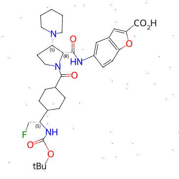 CC(C)(C)OC(=O)N[C@H](CF)C1CCC(C(=O)N2CC[C@H](N3CCCCC3)[C@@H]2C(=O)Nc2ccc3oc(C(=O)O)cc3c2)CC1